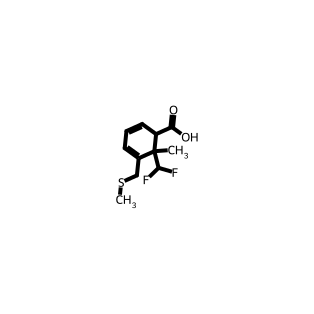 CSCC1=CC=CC(C(=O)O)C1(C)C(F)F